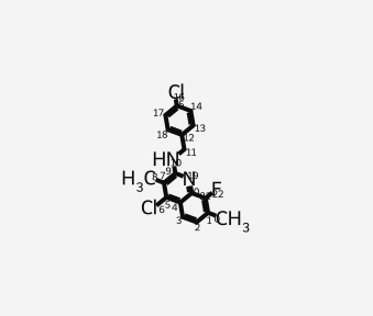 Cc1ccc2c(Cl)c(C)c(NCc3ccc(Cl)cc3)nc2c1F